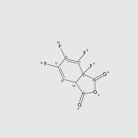 O=C1OC(=O)C2(F)C(F)=C(F)C(F)=CC12